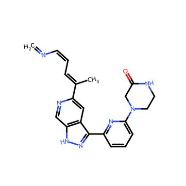 C=N/C=C\C=C(/C)c1cc2c(-c3cccc(N4CCNC(=O)C4)n3)n[nH]c2cn1